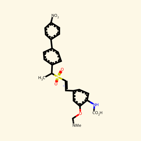 CNCOc1cc(/C=C/S(=O)(=O)C(C)c2ccc(-c3ccc([N+](=O)[O-])cc3)cc2)ccc1NC(=O)O